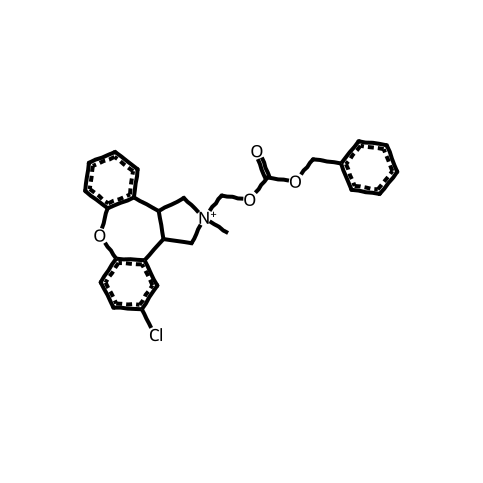 C[N+]1(COC(=O)OCc2ccccc2)CC2c3ccccc3Oc3ccc(Cl)cc3C2C1